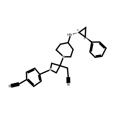 N#CCC1(N2CCC(N[C@@H]3C[C@H]3c3ccccc3)CC2)CN(c2ccc(C#N)cc2)C1